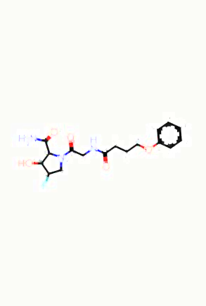 NC(=O)C1C(O)C(F)CN1C(=O)CNC(=O)CCCOc1ccccc1